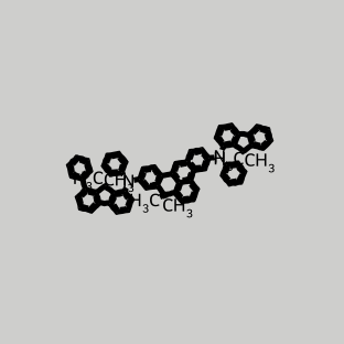 CC1(C)c2ccccc2-c2cccc(N(c3ccccc3)c3ccc4cc5c6c(cccc6c4c3)C(C)(C)c3cc(N(c4ccccc4)c4cccc6c4C(C)(C)c4c(-c7ccccc7)cccc4-6)ccc3-5)c21